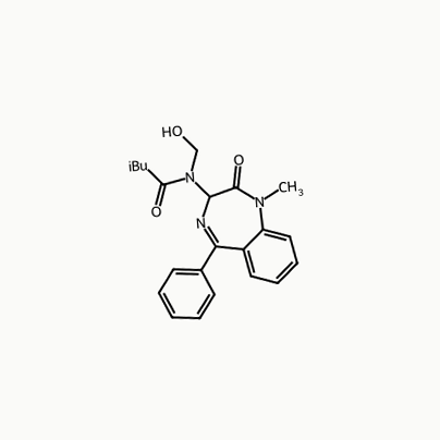 CCC(C)C(=O)N(CO)C1N=C(c2ccccc2)c2ccccc2N(C)C1=O